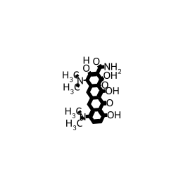 CN(C)c1ccc(O)c2c1CC1CC3[C@H](N(C)C)C(O)=C(C(N)=O)C4(O)O[C@]34C(O)=C1C2=O